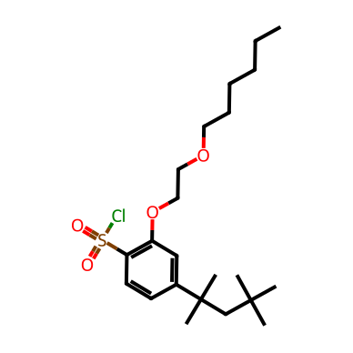 CCCCCCOCCOc1cc(C(C)(C)CC(C)(C)C)ccc1S(=O)(=O)Cl